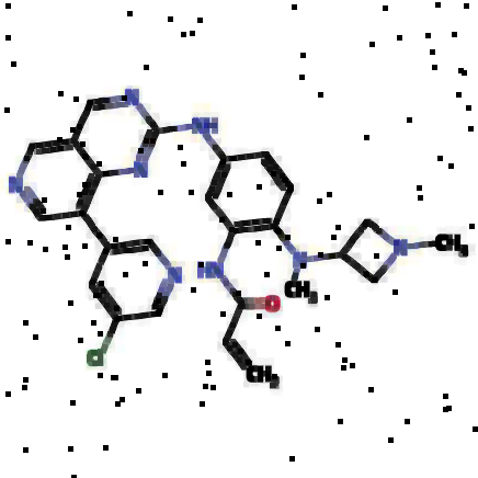 C=CC(=O)Nc1cc(Nc2ncc3cncc(-c4cncc(Cl)c4)c3n2)ccc1N(C)C1CN(C)C1